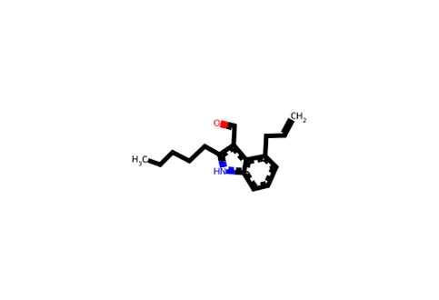 C=CCc1cccc2[nH]c(CCCCC)c(C=O)c12